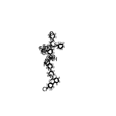 CC(c1ccccc1-c1ccc(Cl)cc1)N1CCC(N2CCc3c(ncnc3NS(=O)(=O)c3ccc(NC(CCN4CCOCC4)CSc4ccccc4)c(S(=O)(=O)C(F)(F)F)c3)C2)CC1